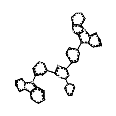 c1ccc(-c2nc(-c3ccc(-c4c5ccccc5n5c4sc4ccccc45)cc3)nc(-c3cccc(-n4c5ccccc5c5ccccc54)c3)n2)cc1